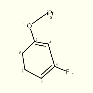 CC(C)OC1=CC(F)=C[CH]C1